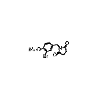 COc1ccc(CN2C(=O)CCC2=O)cc1Br